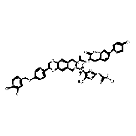 CCNC(=O)Nc1nc(S(=O)(=O)N2Cc3cc4c(cc3C[C@H]2C(=O)NC(Cc2ccc(-c3ccc(C#N)cc3)cc2)C(=O)OC)OCC(c2ccc(OCc3ccc(Cl)c(Cl)c3)cc2)O4)c(C)s1